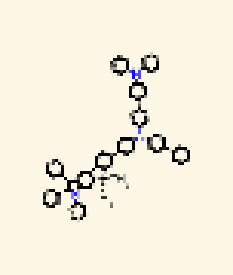 CC1(C)c2cc(-c3ccc(N(c4ccc(-c5ccccc5)cc4)c4ccc(-c5ccc(N(c6ccccc6)c6ccccc6)cc5)cc4)cc3)ccc2-c2cc3c(-c4ccccc4)c(-c4ccccc4)n(-c4ccccc4)c3cc21